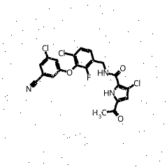 CC(=O)c1cc(Cl)c(C(=O)NCc2ccc(Cl)c(Oc3cc(Cl)cc(C#N)c3)c2F)[nH]1